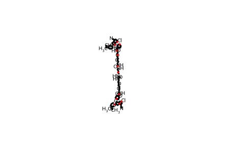 CN(C)[C@H]1CCCN([C@H]2Cc3c(C#N)cc(Cl)cc3[C@@H]2Oc2ccc(S(=O)(=O)NCCOCCOCCNC(=O)NCCCCNC(=O)NCCOCCOCCNS(=O)(=O)c3ccccc3O[C@H]3c4cc(Cl)cc(C#N)c4C[C@@H]3N3CCC[C@H](N(C)C)C3)cc2)C1